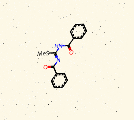 CS/C(=N\C(=O)c1ccccc1)NC(=O)c1ccccc1